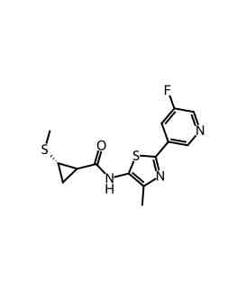 CS[C@H]1CC1C(=O)Nc1sc(-c2cncc(F)c2)nc1C